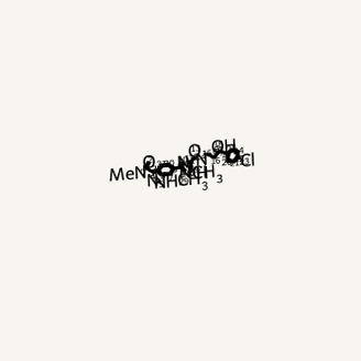 CNC(=O)c1n[nH]c2cc(-c3nc(C(=O)NCC[C@H](O)c4ccc(Cl)cc4)c(C)n3C)ccc12